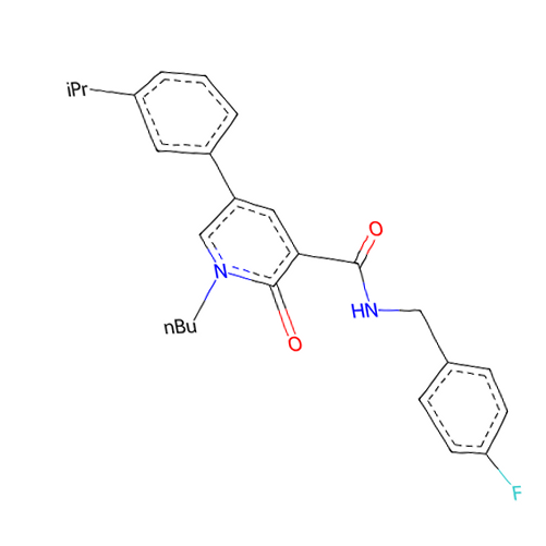 CCCCn1cc(-c2cccc(C(C)C)c2)cc(C(=O)NCc2ccc(F)cc2)c1=O